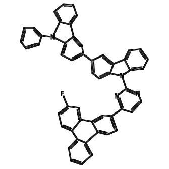 Fc1ccc2c3ccccc3c3ccc(-c4ccnc(-n5c6ccccc6c6cc(-c7ccc8c(c7)c7ccccc7n8-c7ccccc7)ccc65)n4)cc3c2c1